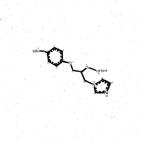 CCCCCCSC(COc1ccc(C(C)(C)C)cc1)Cn1ccnc1